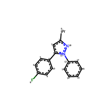 CC(C)c1[c]c(-c2ccc(F)cc2)n(-c2ccccc2)n1